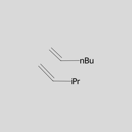 C=CC(C)C.C=CCCCC